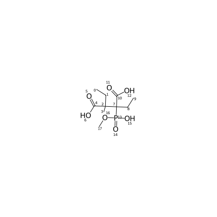 CCC(C)(C(=O)O)C(CC)(C(=O)O)P(=O)(O)OC